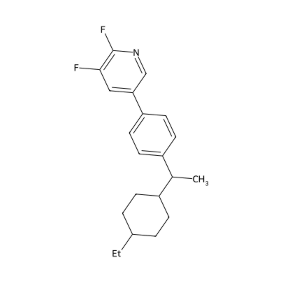 CCC1CCC(C(C)c2ccc(-c3cnc(F)c(F)c3)cc2)CC1